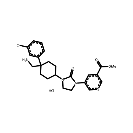 COC(=O)c1cncc(N2CCN(C3CCC(CN)(c4cccc(Cl)c4)CC3)C2=O)c1.Cl